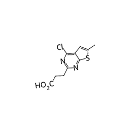 Cc1cc2c(Cl)nc(CCC(=O)O)nc2s1